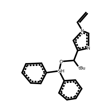 C=Cn1cnc(C(O[SiH](c2ccccc2)c2ccccc2)C(C)(C)C)c1